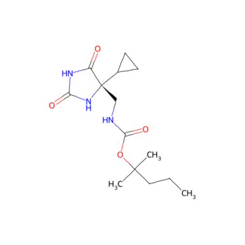 CCCC(C)(C)OC(=O)NC[C@@]1(C2CC2)NC(=O)NC1=O